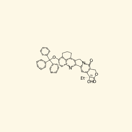 CC[C@@]1(O)C(=O)OCc2c1cc1n(c2=O)Cc2c-1nc1ccc(OC(c3ccccc3)(c3ccccc3)c3ccccc3)c3c1c2CCC3